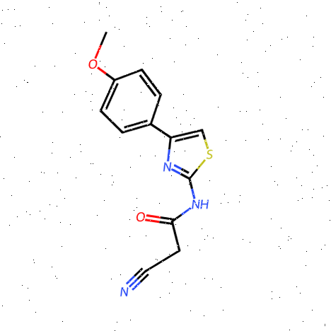 COc1ccc(-c2csc(NC(=O)CC#N)n2)cc1